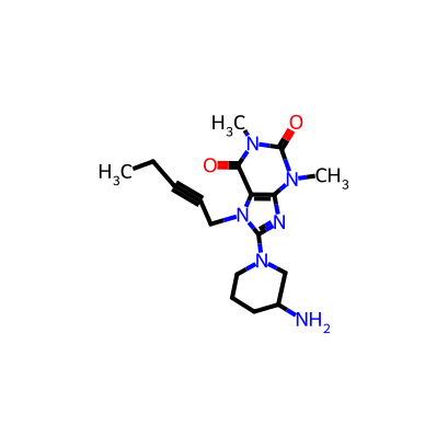 CCC#CCn1c(N2CCCC(N)C2)nc2c1c(=O)n(C)c(=O)n2C